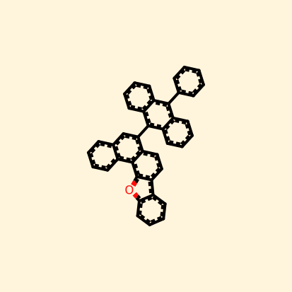 c1ccc(-c2c3ccccc3c(-c3cc4ccccc4c4c3ccc3c5ccccc5oc34)c3ccccc23)cc1